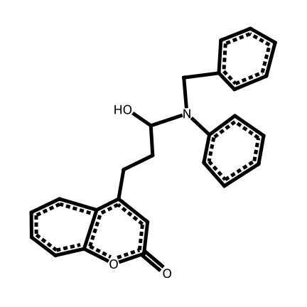 O=c1cc(CCC(O)N(Cc2ccccc2)c2ccccc2)c2ccccc2o1